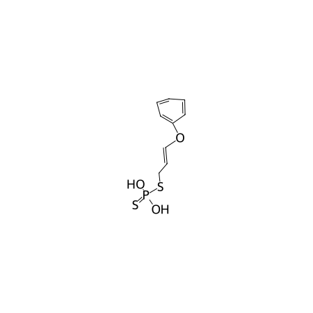 OP(O)(=S)SCC=COc1ccccc1